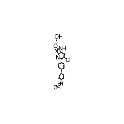 CS(C)(=O)=Nc1ccc(-c2ccc(-c3nc4nc(OCCO)[nH]c4cc3Cl)cc2)cc1